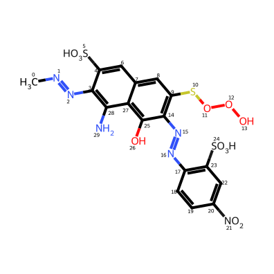 CN=Nc1c(S(=O)(=O)O)cc2cc(SOOO)c(N=Nc3ccc([N+](=O)[O-])cc3S(=O)(=O)O)c(O)c2c1N